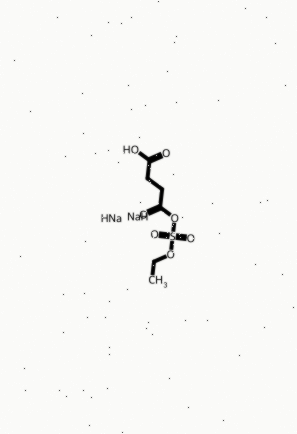 CCOS(=O)(=O)OC(=O)CCC(=O)O.[NaH].[NaH]